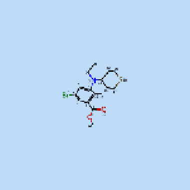 CCN(c1cc(Br)cc(C(=O)OC)c1C)C1CCSCC1